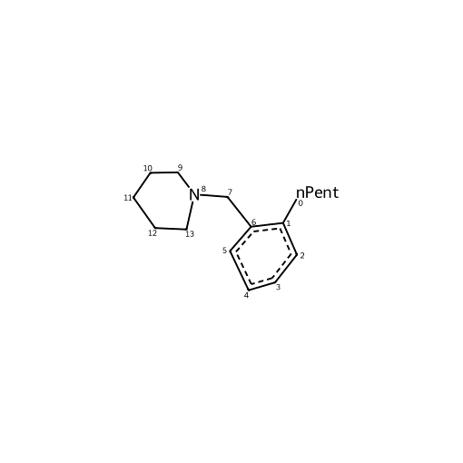 CCCCCc1ccccc1CN1CCCCC1